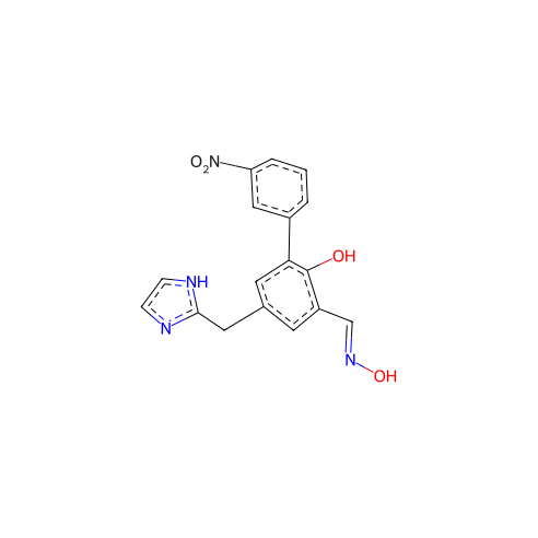 O=[N+]([O-])c1cccc(-c2cc(Cc3ncc[nH]3)cc(C=NO)c2O)c1